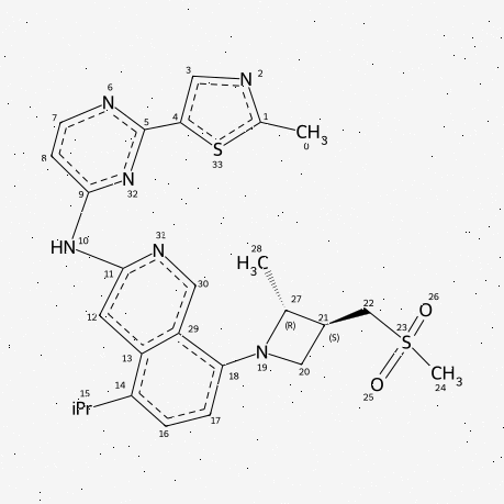 Cc1ncc(-c2nccc(Nc3cc4c(C(C)C)ccc(N5C[C@H](CS(C)(=O)=O)[C@H]5C)c4cn3)n2)s1